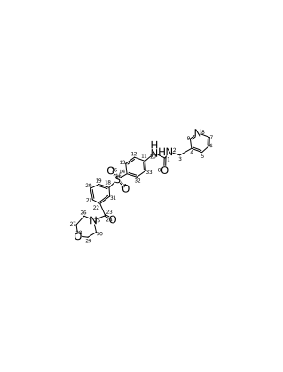 O=C(NCc1cccnc1)Nc1ccc(S(=O)(=O)c2cccc(C(=O)N3CCOCC3)c2)cc1